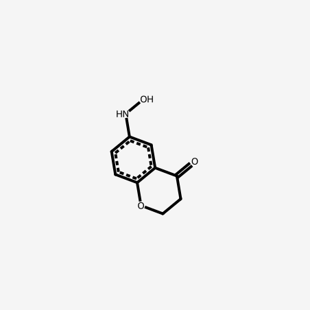 O=C1CCOc2ccc(NO)cc21